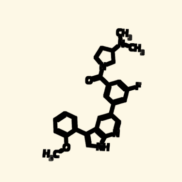 COc1ccccc1-c1c[nH]c2ncc(-c3cc(F)cc(C(=O)N4CCC(N(C)C)C4)c3)cc12